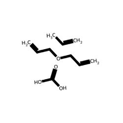 C=CC.C=CCOCC=C.O=C(O)O